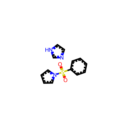 O=S(=O)(c1ccccc1)n1cccc1.c1c[nH]cn1